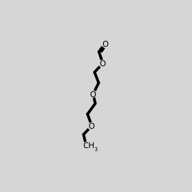 CCOCCOCCOC=O